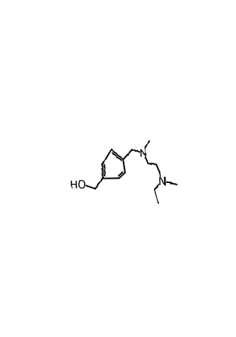 CCN(C)CCN(C)Cc1ccc(CO)cc1